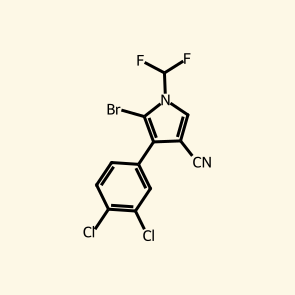 N#Cc1cn(C(F)F)c(Br)c1-c1ccc(Cl)c(Cl)c1